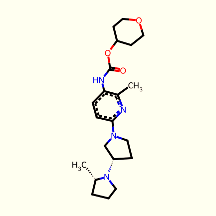 Cc1nc(N2CC[C@H](N3CCC[C@@H]3C)C2)ccc1NC(=O)OC1CCOCC1